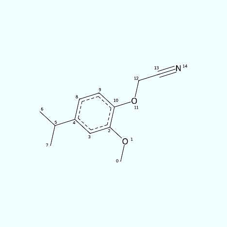 COc1cc(C(C)C)ccc1OCC#N